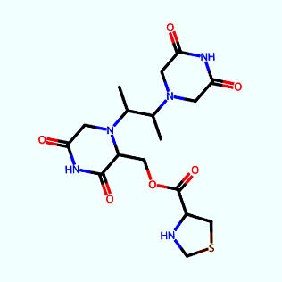 CC(C(C)N1CC(=O)NC(=O)C1COC(=O)C1CSCN1)N1CC(=O)NC(=O)C1